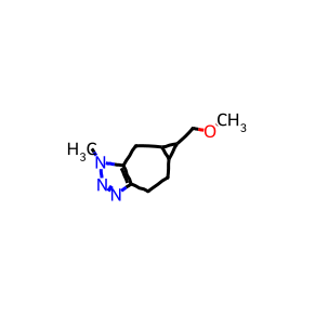 COCC1C2CCc3nnn(C)c3CC21